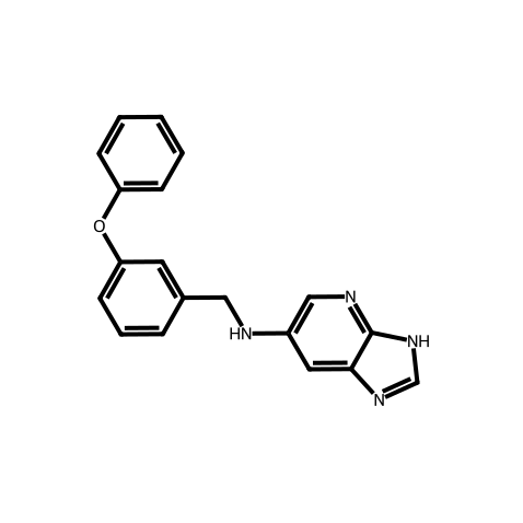 c1ccc(Oc2cccc(CNc3cnc4[nH]cnc4c3)c2)cc1